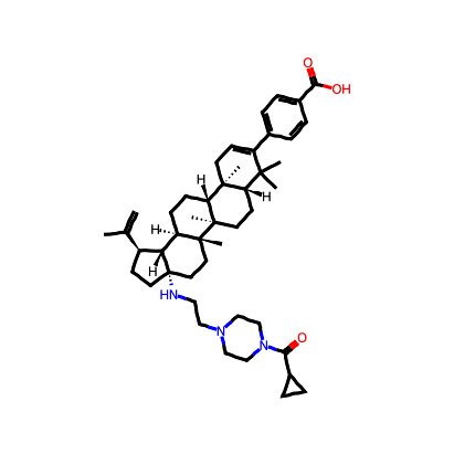 C=C(C)[C@@H]1CC[C@]2(NCCN3CCN(C(=O)C4CC4)CC3)CC[C@]3(C)[C@H](CC[C@@H]4[C@@]5(C)CC=C(c6ccc(C(=O)O)cc6)C(C)(C)[C@@H]5CC[C@]43C)[C@@H]12